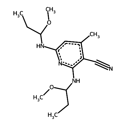 CCC(Nc1cc(C)c(C#N)c(NC(CC)OC)n1)OC